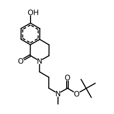 CN(CCCN1CCc2cc(O)ccc2C1=O)C(=O)OC(C)(C)C